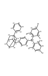 Cc1cc(C)c(B(c2ccc(C34CC5CC(CC(c6ccccc6)(C5)C3)C4)cc2)c2c(C)cc(C)cc2C)c(C)c1